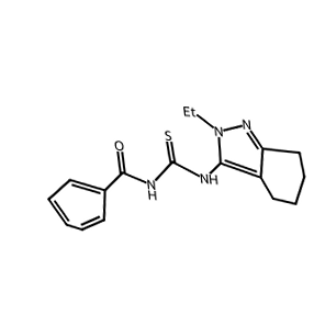 CCn1nc2c(c1NC(=S)NC(=O)c1ccccc1)CCCC2